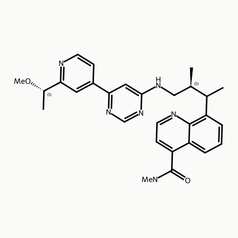 CNC(=O)c1ccnc2c(C(C)[C@H](C)CNc3cc(-c4ccnc([C@H](C)OC)c4)ncn3)cccc12